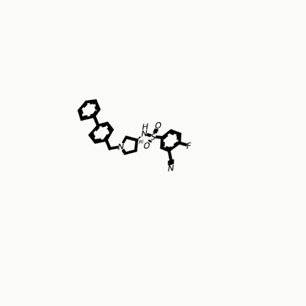 N#Cc1cc(S(=O)(=O)N[C@@H]2CCN(Cc3ccc(-c4ccccc4)cc3)C2)ccc1F